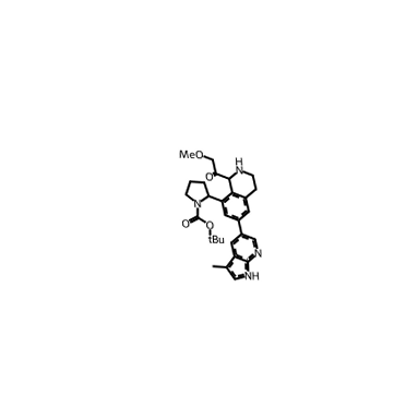 COCC(=O)C1NCCc2cc(-c3cnc4[nH]cc(C)c4c3)cc(C3CCCN3C(=O)OC(C)(C)C)c21